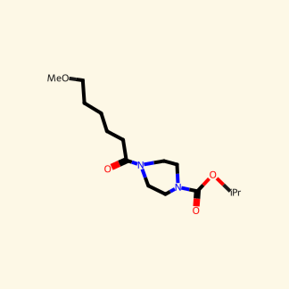 COCCCCCC(=O)N1CCN(C(=O)OC(C)C)CC1